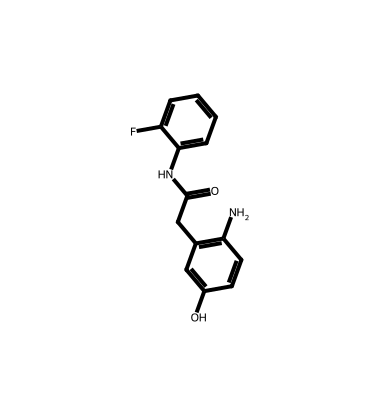 Nc1ccc(O)cc1CC(=O)Nc1ccccc1F